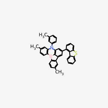 Cc1cccc(N2c3cc(C)ccc3B3c4ccc(C)cc4-c4cc(-c5cccc6sc7ccccc7c56)cc2c43)c1